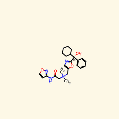 C[N+](C)(CC(=O)Nc1ccon1)Cc1cnc([C@](O)(c2ccccc2)C2CCCCC2)o1